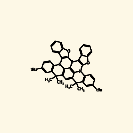 CC(C)(C)c1ccc2c(c1)C(C)(C)c1cc3c4c5c1N2c1oc2ccccc2c1B5c1oc2ccccc2c1N4c1ccc(C(C)(C)C)cc1C3(C)C